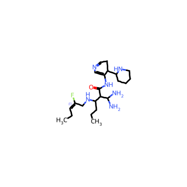 CC/C=C(/F)CNC(CCC)C(C(=O)NC1=CN=CCC1C1CCCCN1)C(N)N